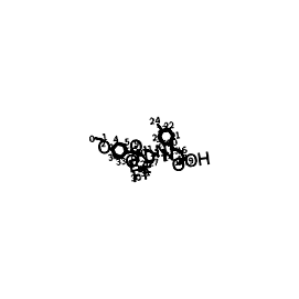 CCOc1ccc(S(=O)(=O)N2C[C@H](n3nc(CC(=O)O)c4ccc(C)cc43)C[C@@H]2C(F)(F)F)cc1